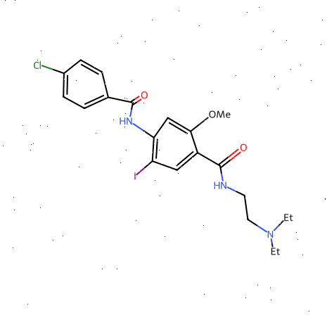 CCN(CC)CCNC(=O)c1cc(I)c(NC(=O)c2ccc(Cl)cc2)cc1OC